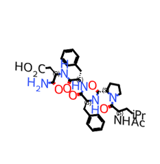 CC(=O)N[C@@H](CC(C)C)C(=O)N1CCC[C@H]1C(=O)N[C@@H](Cc1ccccc1)C(=O)N[C@@H](Cc1ccccc1)C(=O)N[C@H](CC(=O)O)C(N)=O